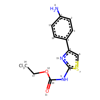 Nc1ccc(-c2csc(NC(=O)OCC(Cl)(Cl)Cl)n2)cc1